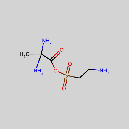 CC(N)(N)C(=O)OS(=O)(=O)CCN